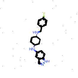 Fc1ccc(CN[C@H]2CC[C@@H](Nc3ccc4[nH]ncc4c3)CC2)cc1